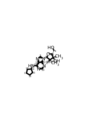 C[C@]1(O)[C@@H](CO)O[C@@H](n2cnc3c(NC4CCCC4)ncnc32)[C@]1(C)F